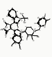 [2H]C([2H])(C)n1c(C)c(C2=C(c3cn(C4CCN(Cc5ccc(C)c(C)n5)C(C)(C)C4C)c4cc(C)c(C)cc34)C(=O)NC2=O)c2ccccc21